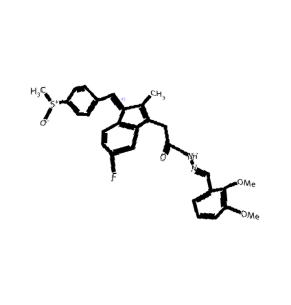 COc1cccc(C=NNC(=O)CC2=C(C)/C(=C/c3ccc([S+](C)[O-])cc3)c3ccc(F)cc32)c1OC